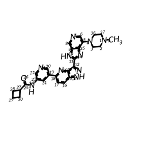 CN1CCN(c2cncc3[nH]c(-c4n[nH]c5ccc(-c6cncc(NC(=O)C7CCC7)c6)nc45)nc23)CC1